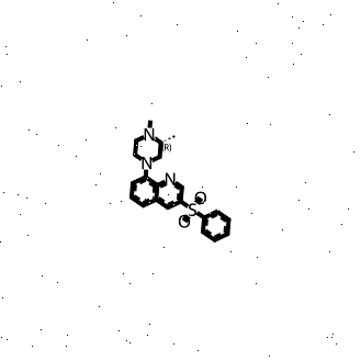 C[C@@H]1CN(c2cccc3cc(S(=O)(=O)c4ccccc4)cnc23)CCN1C